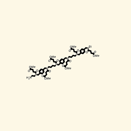 CCN(Cc1ccc(CN(CCCCN(Cc2ccc(CN(CCCCN(Cc3ccc(CN(CCN)C(=O)CCC(=O)OC)cc3)C(=O)CCC(=O)OC)C(=O)CCC(=O)OC)cc2)C(=O)CCC(=O)OC)C(=O)CCC(=O)OC)cc1)C(=O)CCC(=O)OC